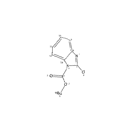 CCCCOC(=O)n1c(Cl)nc2ccccc21